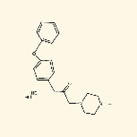 CN1CCN(CC(=O)Cc2ccc(Oc3ccccc3)cc2)CC1.Cl.Cl